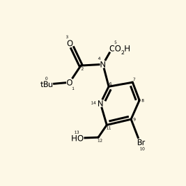 CC(C)(C)OC(=O)N(C(=O)O)c1ccc(Br)c(CO)n1